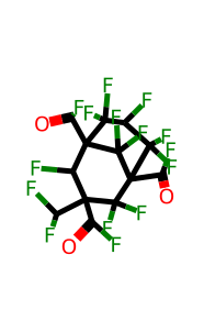 O=C(F)C1(C(F)F)C(F)C2(C(=O)F)C(F)(F)C(F)C(F)(F)C(C(=O)F)(C1(F)F)C2(F)F